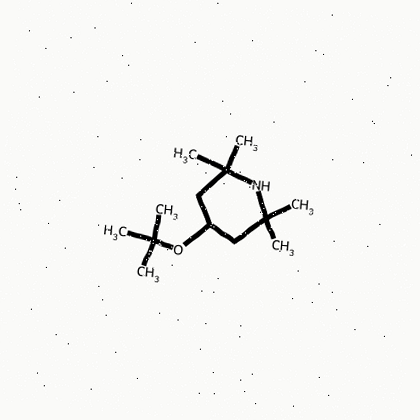 CC1(C)CC(OC(C)(C)C)CC(C)(C)N1